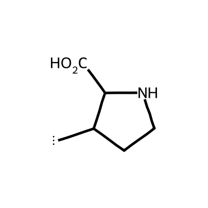 [C]C1CCNC1C(=O)O